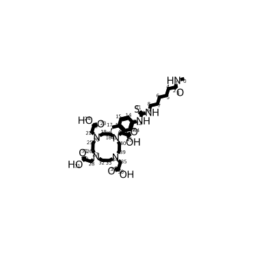 CNC(=O)CCCCCNC(=S)Nc1ccc(C[C@H]2CN(CC(=O)O)CCN(CC(=O)O)CCN(CC(=O)O)CCN2CC(=O)O)cc1